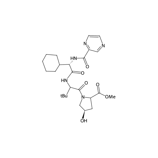 COC(=O)C1C[C@@H](O)CN1C(=O)C(NC(=O)[C@@H](NC(=O)c1cnccn1)C1CCCCC1)C(C)(C)C